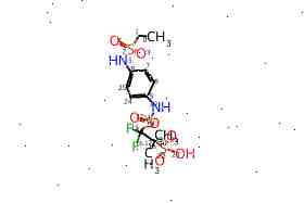 CCS(=O)(=O)Nc1ccc(NS(=O)(=O)C(F)(F)C(C)(C)S(=O)(=O)O)cc1